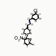 Cc1ccc([N+](=O)[O-])c(N2CCC(=C/C=C/c3cccc(Cl)c3)CC2)n1